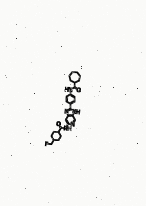 O=C(Nc1ccc(-c2nc3cc(NC(=O)C4CCC(CF)CC4)ncc3[nH]2)cc1)C1CCCCCC1